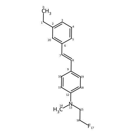 CCc1cccc(/C=C/c2ccc(N(C)CCF)cc2)c1